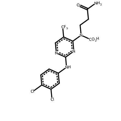 NC(=O)CCN(C(=O)O)c1nc(Nc2ccc(Cl)c(Cl)c2)ncc1C(F)(F)F